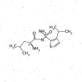 CC(C)C[C@H](N)C(=O)N=S(N)(=O)c1sccc1C(C)C